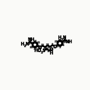 N=C(N)c1ccc(OCCCCCOc2ccc(C(=N)N)cc2)cc1.O=S(=O)(O)CCO